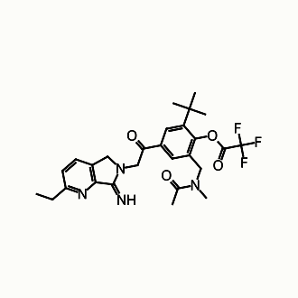 CCc1ccc2c(n1)C(=N)N(CC(=O)c1cc(CN(C)C(C)=O)c(OC(=O)C(F)(F)F)c(C(C)(C)C)c1)C2